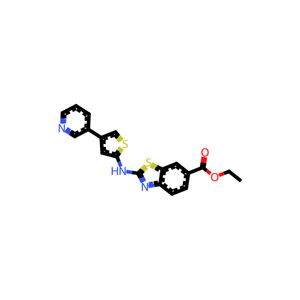 CCOC(=O)c1ccc2nc(Nc3cc(-c4cccnc4)cs3)sc2c1